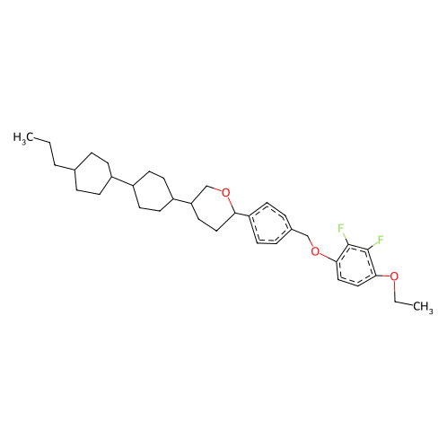 CCCC1CCC(C2CCC(C3CCC(c4ccc(COc5ccc(OCC)c(F)c5F)cc4)OC3)CC2)CC1